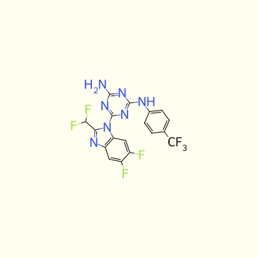 Nc1nc(Nc2ccc(C(F)(F)F)cc2)nc(-n2c(C(F)F)nc3cc(F)c(F)cc32)n1